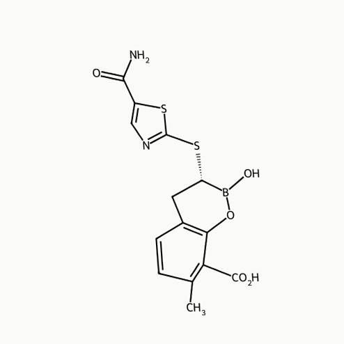 Cc1ccc2c(c1C(=O)O)OB(O)[C@@H](Sc1ncc(C(N)=O)s1)C2